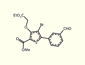 CCOC(=O)COc1c(C(=O)OC)sc(-c2cccc(C=O)c2)c1Br